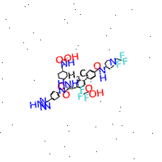 Cc1cc(C(=O)NC2CCN(CC(F)(F)F)CC2)ccc1-c1ccc(C[C@H](NC(=O)[C@H]2CC[C@H](CNC(=O)O)CC2)C(=O)Nc2ccc(-c3nn[nH]n3)cc2)cc1.O=C(O)C(F)(F)F